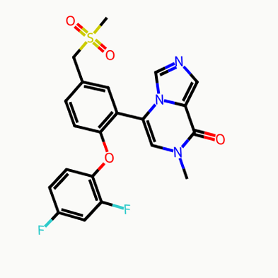 Cn1cc(-c2cc(CS(C)(=O)=O)ccc2Oc2ccc(F)cc2F)n2cncc2c1=O